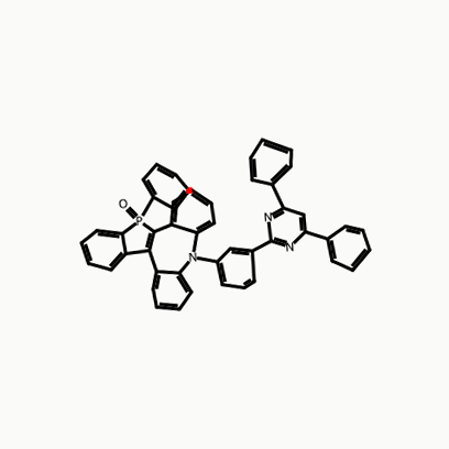 O=P1(c2ccccc2)C2=C(c3ccccc3N(c3cccc(-c4nc(-c5ccccc5)cc(-c5ccccc5)n4)c3)c3ccccc32)c2ccccc21